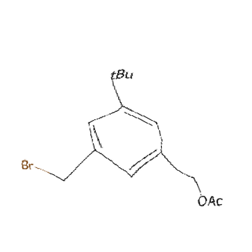 CC(=O)OCc1cc(CBr)cc(C(C)(C)C)c1